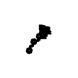 CCOP(=O)(OCC)C(CC1CCN(Cc2cccc(C=Cc3ccccc3)c2)CC1)P(=O)(OCC)OCC